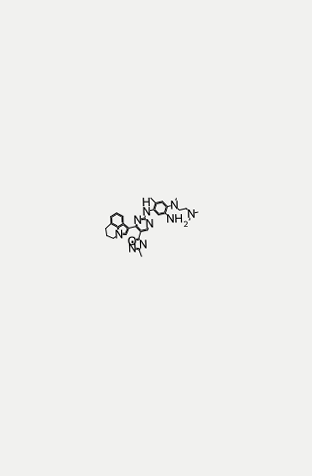 Cc1noc(-c2cnc(Nc3cc(N)c(N(C)CCN(C)C)cc3C)nc2-c2cn3c4c(cccc24)CCC3)n1